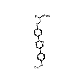 CCCCCCCCCCOc1ccc(-c2cnc(-c3ccc(OCC(F)CCCCC)cc3)nc2)cc1